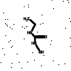 CCNC(=O)NO